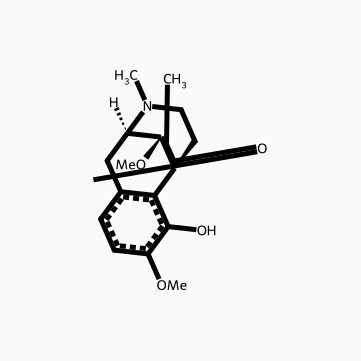 COc1ccc2c(c1O)[C@]13CCN(C)[C@H](C2)[C@]1(OC)C(C)CC(=O)C3